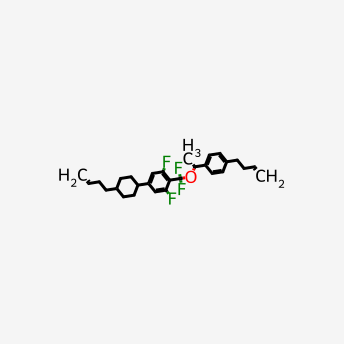 C=CCCc1ccc(C(C)OC(F)(F)c2c(F)cc(C3CCC(CCC=C)CC3)cc2F)cc1